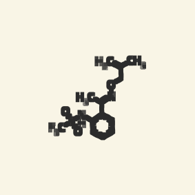 C=C(C)CO/N=C(\C)c1ccccc1NS(=O)(=O)C(F)(F)F